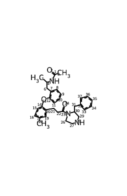 CC(=O)NC(C)Cc1ccccc1Oc1ccc(C)cc1CCC(=O)N1CCNCC1Cc1ccccc1